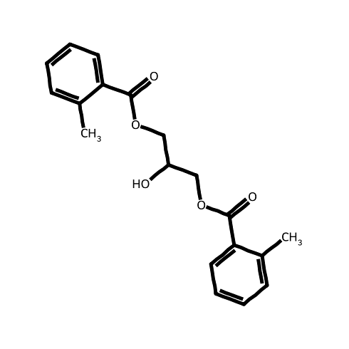 Cc1ccccc1C(=O)OCC(O)COC(=O)c1ccccc1C